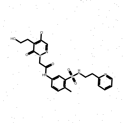 Cc1ccc(NC(=O)Cn2ncc(Cl)c(CCO)c2=O)cc1S(=O)(=O)NCCc1ccccn1